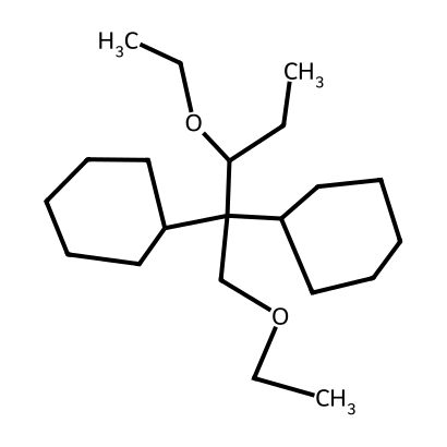 CCOCC(C1CCCCC1)(C1CCCCC1)C(CC)OCC